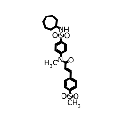 CN(C(=O)/C=C/c1ccc(S(C)(=O)=O)cc1)c1ccc(S(=O)(=O)NC2CCCCCC2)cc1